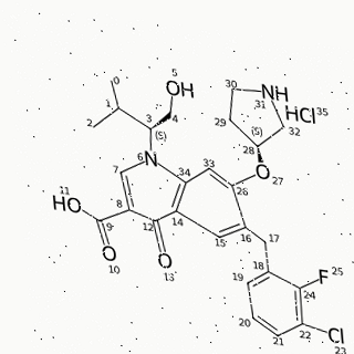 CC(C)[C@@H](CO)n1cc(C(=O)O)c(=O)c2cc(Cc3cccc(Cl)c3F)c(O[C@H]3CCNC3)cc21.Cl